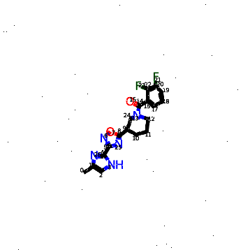 Cc1c[nH]c(-c2noc(C3CCCN(C(=O)c4cccc(F)c4F)C3)n2)n1